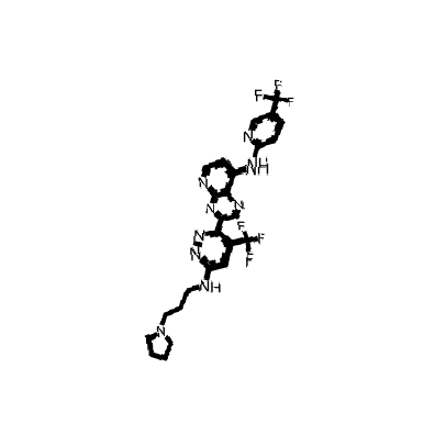 FC(F)(F)c1ccc(Nc2ccnc3nc(-c4nnc(NCCCN5CCCC5)cc4C(F)(F)F)cnc23)nc1